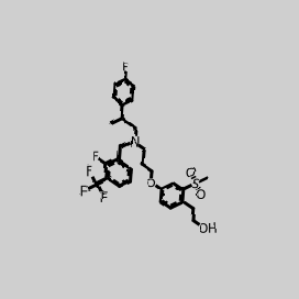 CC(CN(CCCOc1ccc(CCO)c(S(C)(=O)=O)c1)Cc1cccc(C(F)(F)F)c1F)c1ccc(F)cc1